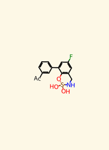 CC(=O)c1cccc(-c2cc(F)cc3c2OS(O)(O)NC3)c1